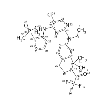 CCN(c1ccc2c(c1)C(C)(C)N(C(=O)C(F)(F)F)CC2)c1ncc(Cl)c(Nc2ccccc2P(C)(C)=O)n1